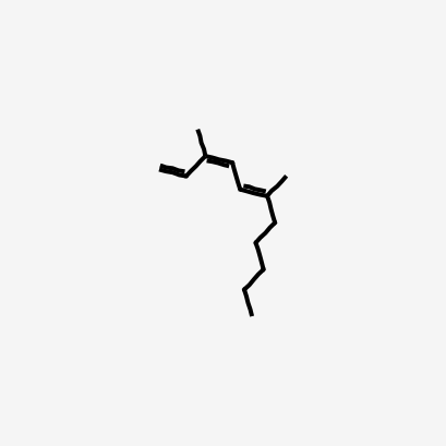 C=C/C(C)=C\C=C(/C)CCCCC